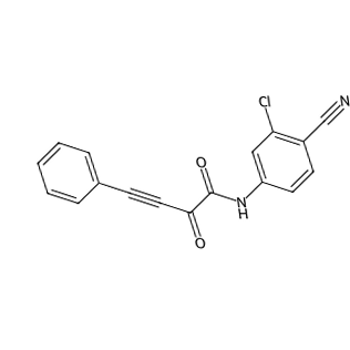 N#Cc1ccc(NC(=O)C(=O)C#Cc2ccccc2)cc1Cl